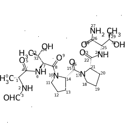 C[C@@H](NC=O)C(=O)N[C@H](C(=O)N1CCC[C@H]1C(=O)N1CCC[C@H]1C(=O)N[C@H](C(N)=O)[C@@H](C)O)[C@@H](C)O